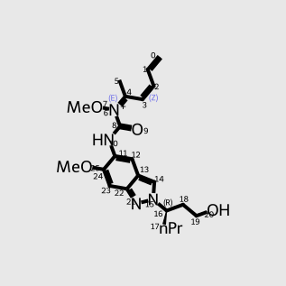 C=C/C=C\C(C)=[N+](\OC)C(=O)Nc1cc2cn([C@H](CCC)CCO)nc2cc1OC